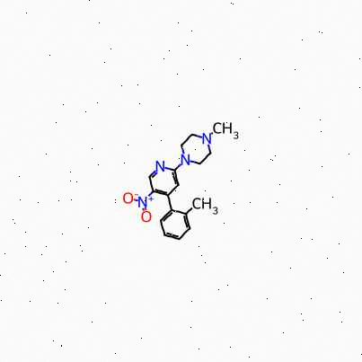 Cc1ccccc1-c1cc(N2CCN(C)CC2)ncc1[N+](=O)[O-]